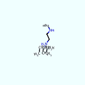 CC(=O)O.CC(=O)O.CC(=O)O.CCCCNCCN